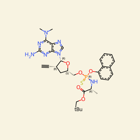 C#C[C@H]1C[C@@H](CO[P@](=S)(N[C@H](C)C(=O)OCC(C)(C)C)Oc2cccc3ccccc23)O[C@H]1n1cnc2c(N(C)C)nc(N)nc21